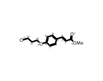 COC(=O)/C=C/c1ccc(OCCCCl)cc1